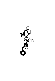 CC1(C)[C@H](C(=O)OC(C#N)c2coc(Cc3ccccc3)c2)[C@@H]1C=C(Cl)Cl